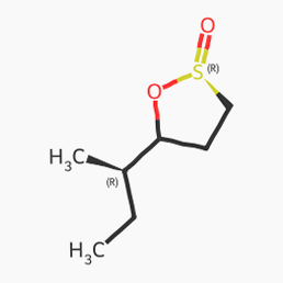 CC[C@@H](C)C1CC[S@](=O)O1